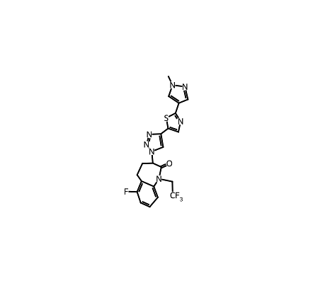 Cn1cc(-c2ncc(-c3cn(C4CCc5c(F)cccc5N(CC(F)(F)F)C4=O)nn3)s2)cn1